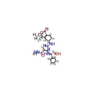 CC(C)NC(=O)c1cnc(Nc2ccc3c(c2)C(C)(C)OC3=O)nc1N[C@H](CO)c1ccccc1